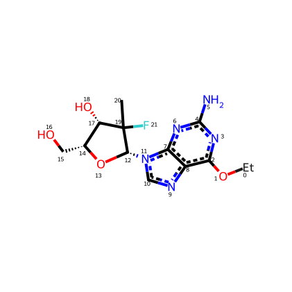 CCOc1nc(N)nc2c1ncn2[C@@H]1O[C@H](CO)[C@H](O)C1(C)F